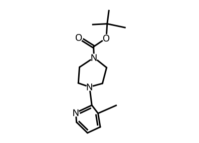 Cc1cccnc1N1CCN(C(=O)OC(C)(C)C)CC1